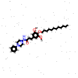 CCCCCCCCCCCCOc1c(OC)cc(C=CC(=O)NN2CCN(c3ccccc3)CC2)cc1OC